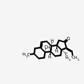 C/C=C1/C(=O)C[C@H]2[C@@H]3CC=C4CC(C)CC[C@]4(C)[C@H]3CC[C@]12C